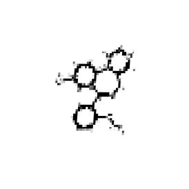 FC(F)(F)Oc1ccccc1C1=NCc2cncnc2-c2ccc(Cl)cc21